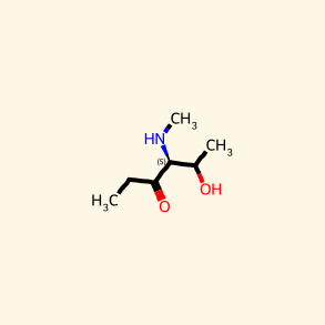 CCC(=O)[C@@H](NC)C(C)O